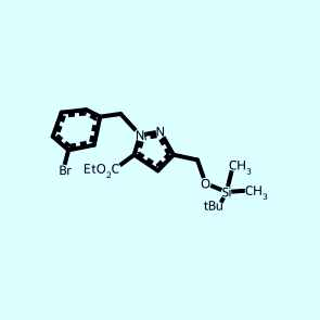 CCOC(=O)c1cc(CO[Si](C)(C)C(C)(C)C)nn1Cc1cccc(Br)c1